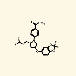 COC(=O)c1ccc(N2C[C@@H](Oc3ccc4c(c3)OC(F)(F)O4)C[C@H]2COC(F)F)cc1